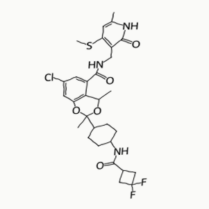 CSc1cc(C)[nH]c(=O)c1CNC(=O)c1cc(Cl)cc2c1C(C)OC(C)(C1CCC(NC(=O)C3CC(F)(F)C3)CC1)O2